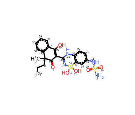 CC(C)CCC1(C)C(=O)C(C2=NS(O)(O)c3cc(NS(N)(=O)=O)ccc3N2)=C(O)c2ccccc21